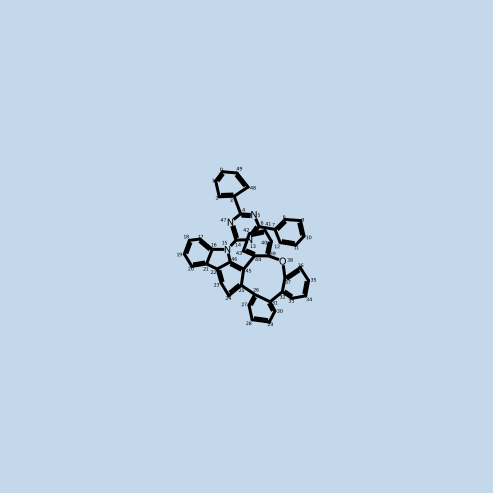 c1ccc(-c2nc(-c3ccccc3)nc(-n3c4ccccc4c4ccc5c6ccccc6c6ccccc6oc6ccccc6c5c43)n2)cc1